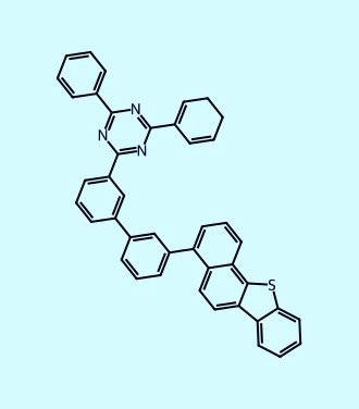 C1=CC(c2nc(-c3ccccc3)nc(-c3cccc(-c4cccc(-c5cccc6c5ccc5c7ccccc7sc65)c4)c3)n2)=CCC1